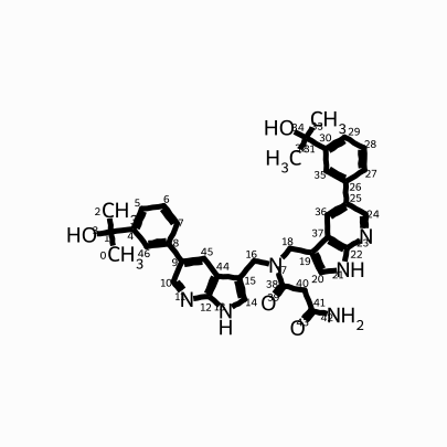 CC(C)(O)c1cccc(-c2cnc3[nH]cc(CN(Cc4c[nH]c5ncc(-c6cccc(C(C)(C)O)c6)cc45)C(=O)CC(N)=O)c3c2)c1